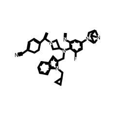 C=Nc1cc(N2CC3C4C2N34)cc(F)c1N(Cc1cc2ccccc2n1CC1CC1)C1CN(C(=C)C2=CC=C(C#N)CC2)C1